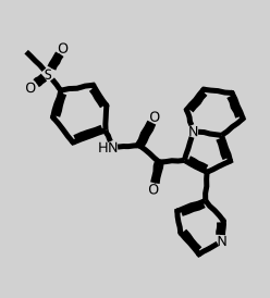 CS(=O)(=O)c1ccc(NC(=O)C(=O)c2c(-c3cccnc3)cc3ccccn23)cc1